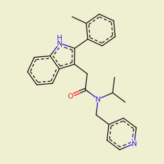 Cc1ccccc1-c1[nH]c2ccccc2c1CC(=O)N(Cc1ccncc1)C(C)C